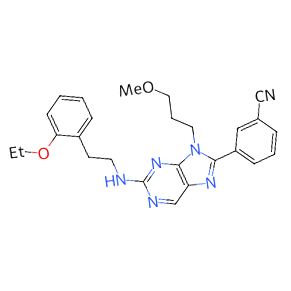 CCOc1ccccc1CCNc1ncc2nc(-c3cccc(C#N)c3)n(CCCOC)c2n1